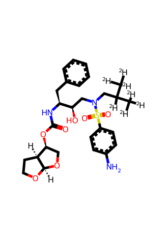 [2H]C([2H])([2H])C([2H])(CN(C[C@@H](O)[C@H](Cc1ccccc1)NC(=O)O[C@H]1CO[C@H]2OCC[C@H]21)S(=O)(=O)c1ccc(N)cc1)C([2H])([2H])[2H]